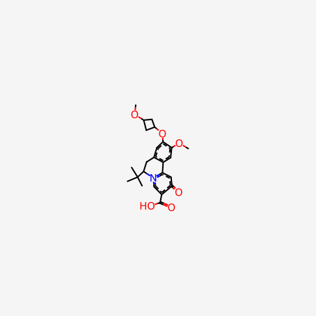 COc1cc2c(cc1OC1CC(OC)C1)CC(C(C)(C)C)n1cc(C(=O)O)c(=O)cc1-2